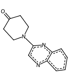 O=C1CCN(c2cnc3ccccc3n2)CC1